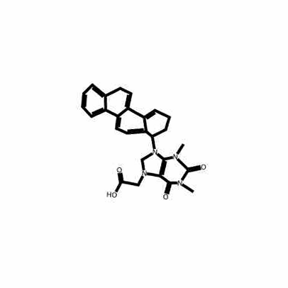 Cn1c2c(c(=O)n(C)c1=O)N(CC(=O)O)CN2C1CCC=c2c1ccc1c2=CCc2ccccc2-1